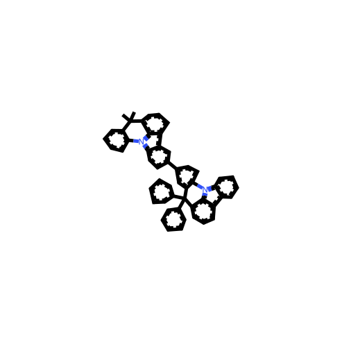 CC1(C)c2ccccc2-n2c3ccc(-c4ccc5c(c4)C(c4ccccc4)(c4ccccc4)c4cccc6c7ccccc7n-5c46)cc3c3cccc1c32